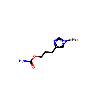 CCCCCCn1cnc(CCCOC(N)=O)c1